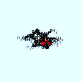 CCCCOC(=O)c1cc(NC(=O)[C@H]2CCC[C@@H]2NC(=O)c2cc(NC(=O)[C@H]3CCC[C@@H]3NC(=O)c3cc(NC(=O)[C@H]4CCC[C@@H]4NC(=O)c4cc(NC(=O)[C@H]5CCC[C@@H]5NC(=O)OC(C)(C)C)cc(OCCC(C)C)c4)cc(OCCC(C)C)c3)cc(OCCC(C)C)c2)cc(OCCC(C)C)c1